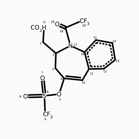 O=C(O)CC1CC(OS(=O)(=O)C(F)(F)F)=Cc2ccccc2N1C(=O)C(F)(F)F